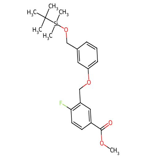 COC(=O)c1ccc(F)c(COc2cccc(CO[Si](C)(C)C(C)(C)C)c2)c1